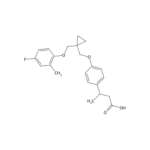 Cc1cc(F)ccc1OCC1(COc2ccc(C(C)CC(=O)O)cc2)CC1